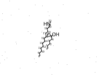 CCCCCC(=O)O.CCCCCCCCCCCCCNC